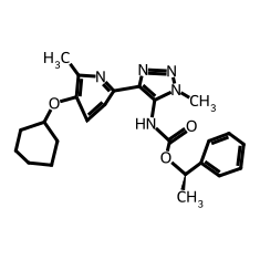 Cc1nc(-c2nnn(C)c2NC(=O)O[C@H](C)c2ccccc2)ccc1OC1CCCCC1